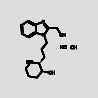 Cl.Cl.OCc1nc2ccccc2n1CCC[C@H]1NCCC[C@@H]1O